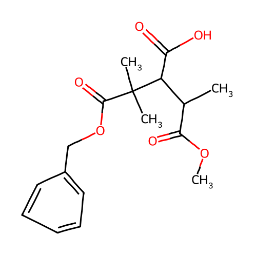 COC(=O)C(C)C(C(=O)O)C(C)(C)C(=O)OCc1ccccc1